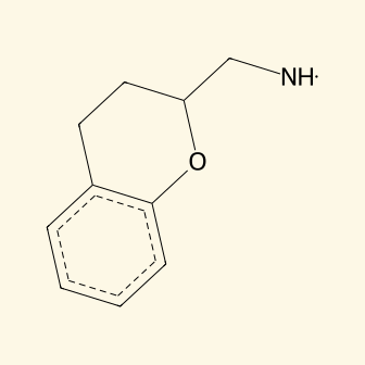 [NH]CC1CCc2ccccc2O1